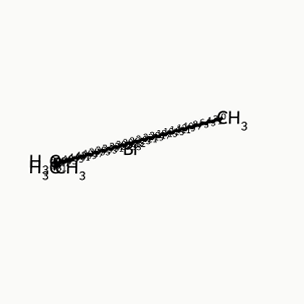 CCCCCCCCCCCCCCCCCCCCCCCCCCCCCCCCCCCCCCCCCCCCCCCCC[P+](C)(C)C.[Br-]